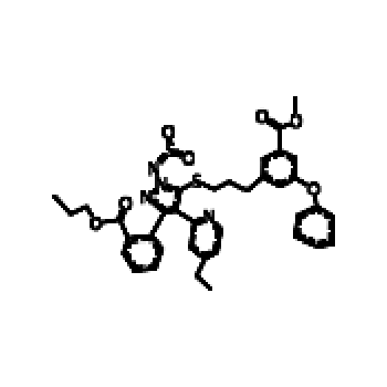 CCCOC(=O)c1ccccc1-c1nn(N=S(=O)=O)c(SCCCc2cc(Oc3ccccc3)cc(C(=O)OC)c2)c1-c1cc(CC)ccn1